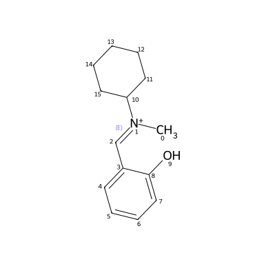 C/[N+](=C\c1ccccc1O)C1CCCCC1